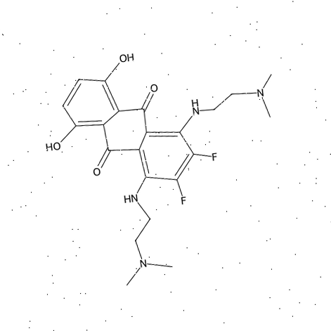 CN(C)CCNc1c(F)c(F)c(NCCN(C)C)c2c1C(=O)c1c(O)ccc(O)c1C2=O